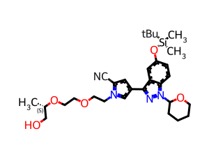 C[C@@H](CO)OCCOCCn1cc(-c2nn(C3CCCCO3)c3ccc(O[Si](C)(C)C(C)(C)C)cc23)cc1C#N